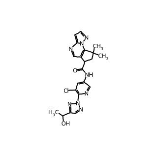 CC(O)c1cnn(-c2ncc(NC(=O)C3CC(C)(C)c4c3cnc3ccnn43)cc2Cl)n1